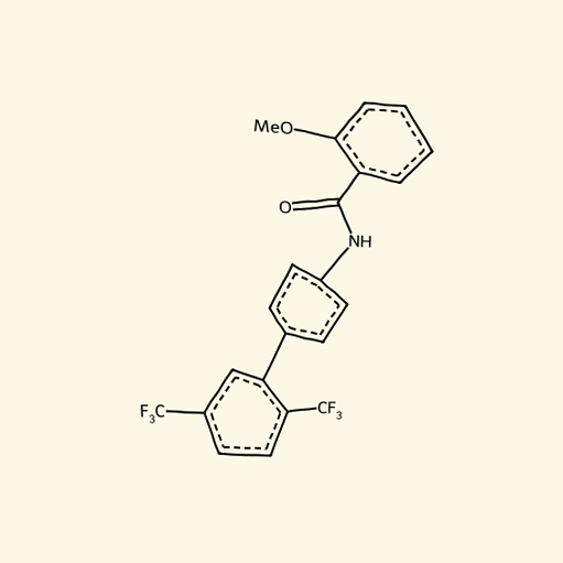 COc1ccccc1C(=O)Nc1ccc(-c2cc(C(F)(F)F)ccc2C(F)(F)F)cc1